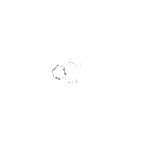 NCc1cc[c]cc1.[NaH]